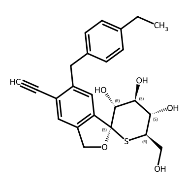 C#Cc1cc2c(cc1Cc1ccc(CC)cc1)[C@]1(OC2)S[C@H](CO)[C@@H](O)[C@H](O)[C@H]1O